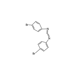 Brc1ccc(N=C=Nc2ccc(Br)cc2)cc1